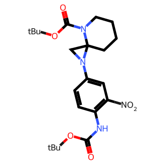 CC(C)(C)OC(=O)Nc1ccc(N2CC23CCCCN3C(=O)OC(C)(C)C)cc1[N+](=O)[O-]